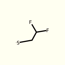 FC(F)C[S]